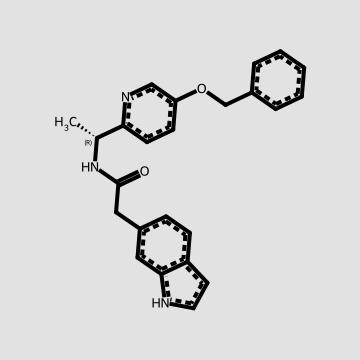 C[C@@H](NC(=O)Cc1ccc2cc[nH]c2c1)c1ccc(OCc2ccccc2)cn1